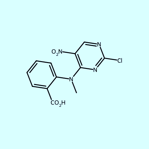 CN(c1ccccc1C(=O)O)c1nc(Cl)ncc1[N+](=O)[O-]